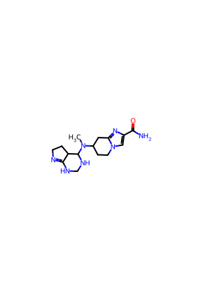 CN(C1CCn2cc(C(N)=O)nc2C1)C1NCNC2=NCCC21